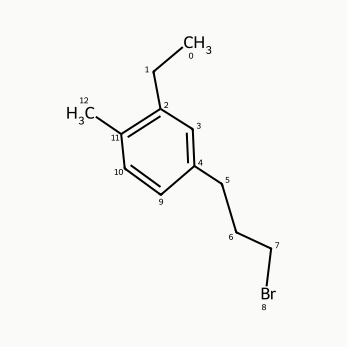 CCc1cc(CCCBr)ccc1C